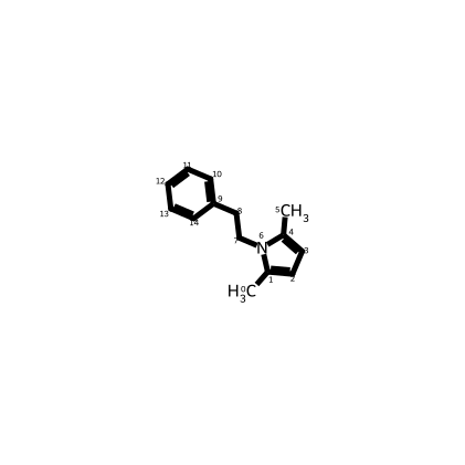 Cc1ccc(C)n1CCc1ccccc1